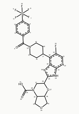 O=C(c1ccc(S(F)(F)(F)(F)F)cc1)N1CCC(c2c(F)cnc3[nH]c(C4CN(C(=O)O)C5COCC5O4)nc23)CC1